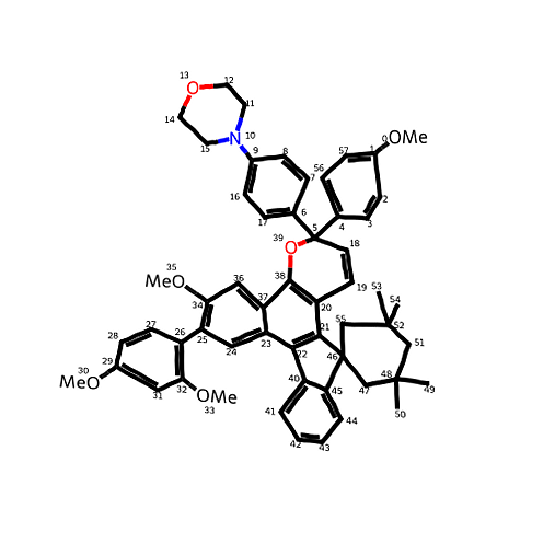 COc1ccc(C2(c3ccc(N4CCOCC4)cc3)C=Cc3c4c(c5cc(-c6ccc(OC)cc6OC)c(OC)cc5c3O2)-c2ccccc2C42CC(C)(C)CC(C)(C)C2)cc1